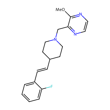 COc1nccnc1CN1CCC(/C=C/c2ccccc2F)CC1